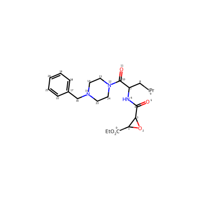 CCOC(=O)C1OC1C(=O)NC(CC(C)C)C(=O)N1CCN(Cc2ccccc2)CC1